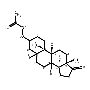 CC(=O)OOC1CC[C@]2(C)[C@@H]3CC[C@]4(C)C(=O)CC[C@H]4[C@@H]3CCC2(Cl)C1